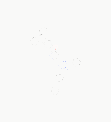 c1ccc(-c2ccc(-c3nc(-c4ccccc4)nc(-c4cnc5c(c4)oc4cc6c7ccccc7c7ccccc7c6cc45)n3)cc2)cc1